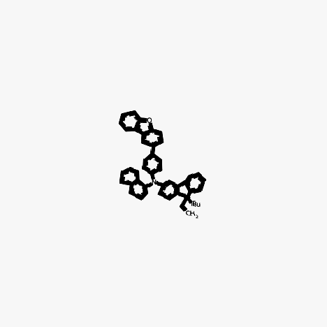 C=CC1(C(C)CC)c2ccccc2-c2cc(N(c3ccc(-c4ccc5oc6ccccc6c5c4)cc3)c3cccc4ccccc34)ccc21